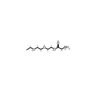 CCOCCOCCOC(=O)CN